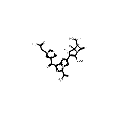 C[C@@H](O)[C@H]1C(=O)N2C(C(=O)[O-])=C(c3cn4c(C(N)=O)nc(C(=O)c5ccc[n+](CC(N)=O)c5)c4s3)[C@H](C)[C@H]12